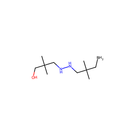 BCC(C)(C)CNNCC(C)(C)CO